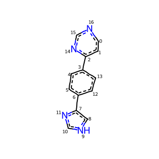 c1cc(-c2ccc(-c3c[nH]cn3)cc2)ncn1